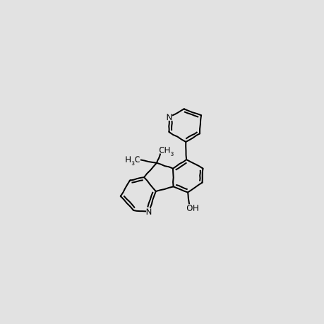 CC1(C)c2cccnc2-c2c(O)ccc(-c3cccnc3)c21